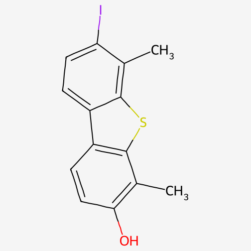 Cc1c(O)ccc2c1sc1c(C)c(I)ccc12